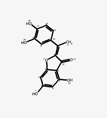 CC(=C1Oc2cc(O)cc(O)c2C1=O)c1ccc(O)c(O)c1